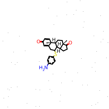 C[C@]12C=CC(=O)C=C1CC(Sc1ccc(N)cc1)[C@@H]1[C@@H]2CC[C@]2(C)C(=O)CC[C@@H]12